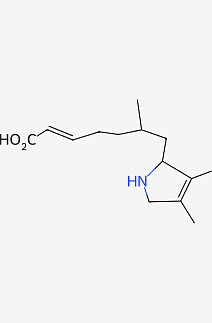 CC1=C(C)C(CC(C)CCC=CC(=O)O)NC1